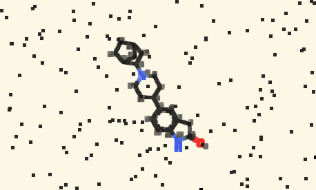 O=C1Cc2cc(C3CCN(C4CC5CCC4C5)CC3)ccc2N1